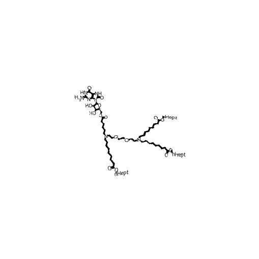 CCCCCCCOC(=O)CCCCCCCCN(CCCCCCCCC(=O)OCCCCCCC)CCOCCOCCN(CCCCCCCCC(=O)OCCCCCCC)CCCCCC(=O)OC[C@@H]1O[C@H](n2c(=O)[nH]c3c(=O)[nH]c(N)nc32)[C@H](O)C1O